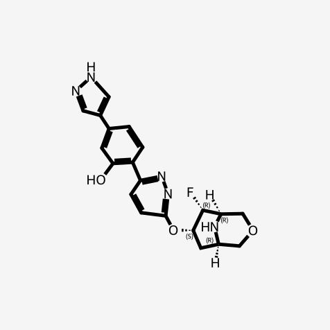 Oc1cc(-c2cn[nH]c2)ccc1-c1ccc(O[C@H]2C[C@@H]3COC[C@@H](N3)[C@H]2F)nn1